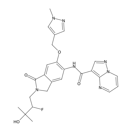 Cn1cc(COc2cc3c(cc2NC(=O)c2cnn4cccnc24)CN(CC(F)C(C)(C)O)C3=O)cn1